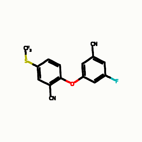 N#Cc1cc(F)cc(Oc2ccc(SC(F)(F)F)cc2C#N)c1